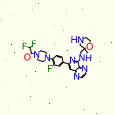 CC1(CNc2nc(-c3ccc(N4CCN(C(=O)C(F)F)CC4)c(F)c3)cc3nccnc23)CNCCO1